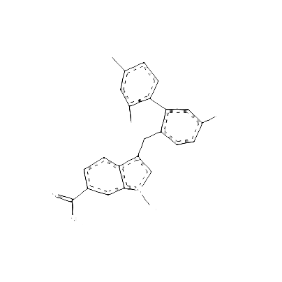 CCn1cc(Cc2ccc(C(=O)O)cc2-c2ccc(C)cc2C(=O)O)c2ccc(C(=N)N)cc21